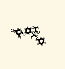 CC(OC(=O)C(C)Oc1ccc(Oc2ncc(Cl)cc2Cl)cc1)SCc1ccccc1